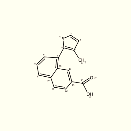 Cc1ccsc1-c1cccc2ccc(C(=O)O)cc12